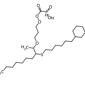 CCCCCCCC(SCCCCCCC1CCCCC1)C(C)OCCCOOC(=O)[PH](=O)O